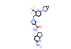 Nc1ccc2c(n1)CC[C@H]2NC(=O)c1cnn(Cc2ccc(N3CC4CC4C3)nc2C(F)(F)F)c1